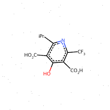 CC(C)c1nc(C(F)(F)F)c(C(=O)O)c(O)c1C(=O)O